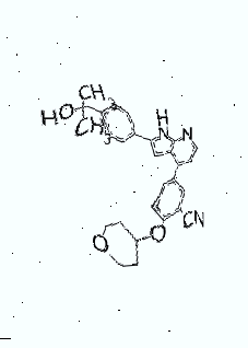 CC(C)(O)c1ccc(-c2cc3c(-c4ccc(OC5CCOCC5)c(C#N)c4)ccnc3[nH]2)cc1